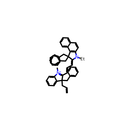 C=CCC1(Cc2ccccc2)C(/C=C/C=C2/N(CC)c3ccc4ccccc4c3C2(Cc2ccccc2)Cc2ccccc2)=[N+](C)c2ccccc21